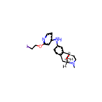 CN1CC[C@]23CCCC[C@H]2[C@H]1Cc1ccc(Nc2ccnc(OCCI)c2)cc13